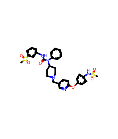 CS(=O)(=O)Nc1ccc(Oc2ccc(CN3CCC(N(C(=O)Nc4cccc(S(C)(=O)=O)c4)c4ccccc4)CC3)cn2)cc1